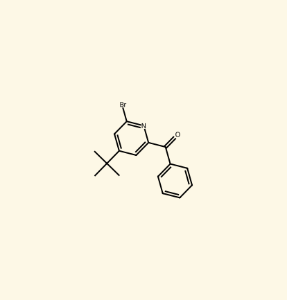 CC(C)(C)c1cc(Br)nc(C(=O)c2ccccc2)c1